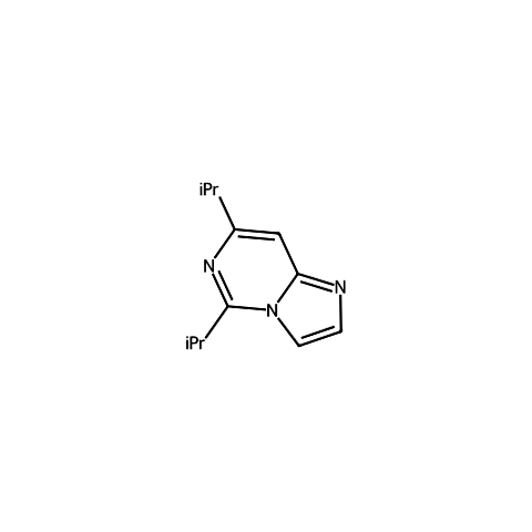 CC(C)c1cc2nccn2c(C(C)C)n1